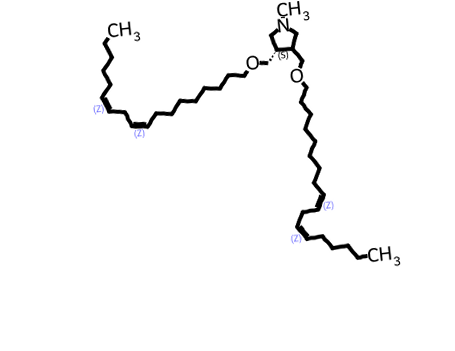 CCCCC/C=C\C/C=C\CCCCCCCCOCC1CN(C)C[C@H]1COCCCCCCCC/C=C\C/C=C\CCCCC